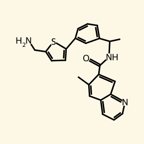 Cc1cc2cccnc2cc1C(=O)NC(C)c1cccc(-c2ccc(CN)s2)c1